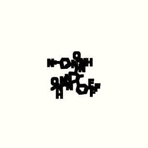 CC(=O)Nc1nc2c(-c3cccc(C(F)(F)F)c3)c(C)c(-c3n[nH]c(=O)n3-c3ccc(C#N)cc3)cn2n1